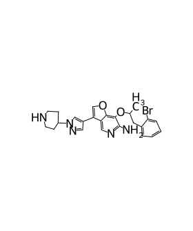 CC(Cc1ccccc1Br)Oc1c(N)ncc2c(-c3cnn(C4CCNCC4)c3)coc12